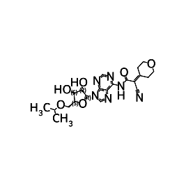 CC(C)OC[C@@H]1O[C@@H](n2cnc3c(NC(=O)C(C#N)=C4CCOCC4)ncnc32)[C@H](O)[C@@H]1O